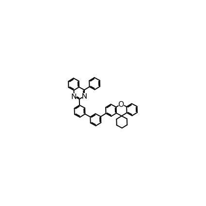 c1ccc(-c2nc(-c3cccc(-c4cccc(-c5ccc6c(c5)C5(CCCCC5)c5ccccc5O6)c4)c3)nc3ccccc23)cc1